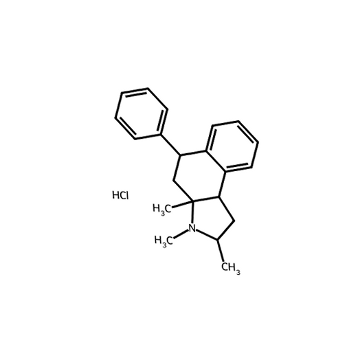 CC1CC2c3ccccc3C(c3ccccc3)CC2(C)N1C.Cl